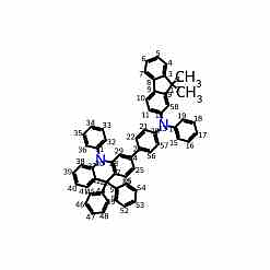 CC1(C)c2ccccc2-c2ccc(N(c3ccccc3)c3ccc(-c4ccc5c(c4)N(c4ccccc4)c4ccccc4C5(c4ccccc4)c4ccccc4)cc3)cc21